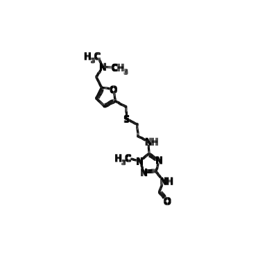 CN(C)Cc1ccc(CSCCNc2nc(NC=O)nn2C)o1